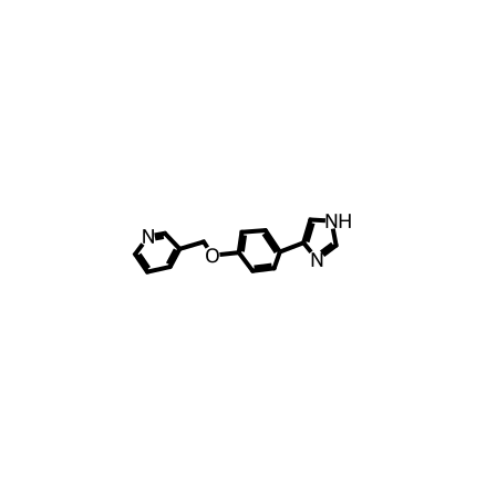 c1cncc(COc2ccc(-c3c[nH]cn3)cc2)c1